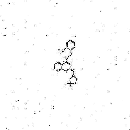 FC1(F)CCN(Cc2nc(NCc3ccccc3C(F)(F)F)c3cccnc3n2)C1